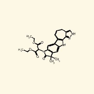 CCOC(=O)C(C(=O)OCC)N1C(=O)C(C)(C)c2cc3[nH]c4c(c3cc21)CCCc1c[nH]nc1-4